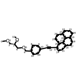 COC[C@H](COCc1ccc(C#Cc2ccc3ccc4cccc5ccc2c3c45)cc1)OC